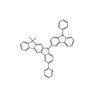 CC1(C)c2ccccc2-c2cc3c4cc(-c5ccccn5)ccc4n(-c4ccc5c(c4)c4ccccc4n5-c4ccccc4)c3cc21